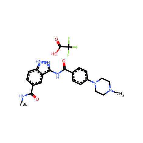 CCCCNC(=O)c1ccc2[nH]nc(NC(=O)c3ccc(N4CCN(C)CC4)cc3)c2c1.O=C(O)C(F)(F)F